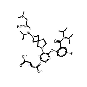 CC(C)[C@H](C[C@H](O)CN(C)C)N1CC2(CCN(c3ncnnc3Oc3ccc(F)cc3C(=O)N(C(C)C)C(C)C)C2)C1.O=C(O)/C=C/C(=O)O